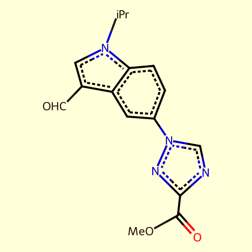 COC(=O)c1ncn(-c2ccc3c(c2)c(C=O)cn3C(C)C)n1